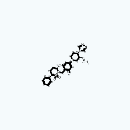 CO[C@H]1CN(c2ccc(CN3[C@@H](C)CC[C@H](c4ccccc4)S3(=O)=O)c(F)c2)CC[C@H]1n1cnnc1